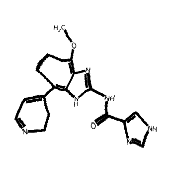 COC1=c2nc(NC(=O)c3c[nH]cn3)[nH]c2=C(C2=CC=NCC2)CC1